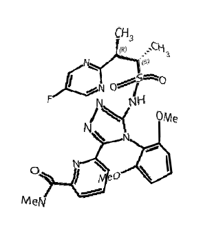 CNC(=O)c1cccc(-c2nnc(NS(=O)(=O)[C@@H](C)[C@H](C)c3ncc(F)cn3)n2-c2c(OC)cccc2OC)n1